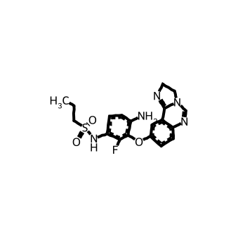 CCCS(=O)(=O)Nc1ccc(N)c(Oc2ccc3c(c2)C2=NCCN2C=N3)c1F